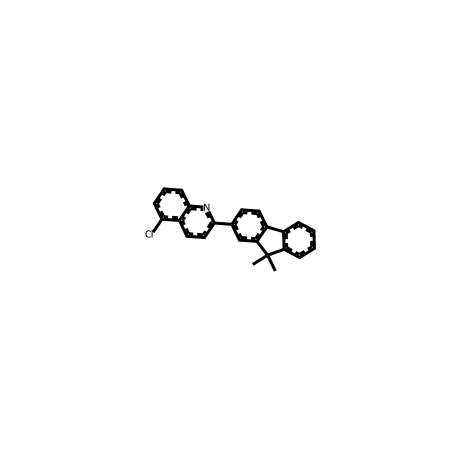 CC1(C)c2ccccc2-c2ccc(-c3ccc4c(Cl)cccc4n3)cc21